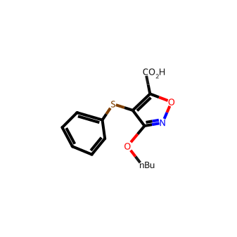 CCCCOc1noc(C(=O)O)c1Sc1ccccc1